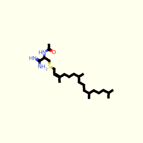 CC(=O)NC(CSCC=C(C)CCCC(C)CCCC(C)CCCC(C)C)C(=N)N